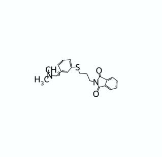 CN(C)Cc1cccc(SCCCN2C(=O)c3ccccc3C2=O)c1